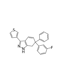 Fc1cccc(C2(c3ccccc3)C=Cc3c(-c4ccsc4)n[nH]c3C2)c1